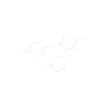 Cc1cc[c]([Al+][c]2ccc(C)cc2)cc1.[S-]c1ccccc1